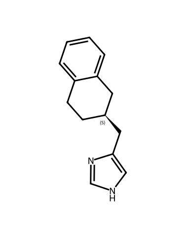 c1ccc2c(c1)CC[C@H](Cc1c[nH]cn1)C2